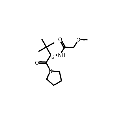 COCC(=O)N[C@H](C(=O)N1CCCC1)C(C)(C)C